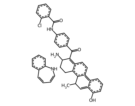 C1=CNc2ccccc2C=C1.CC1C=c2c(O)cccc2=c2ccc3c(c21)CCC(N)C=3C(=O)c1ccc(NC(=O)c2ccccc2Cl)cc1